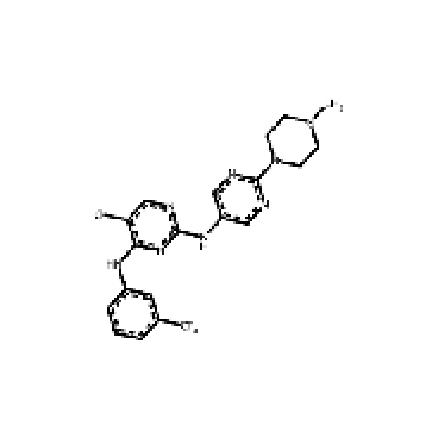 CN1CCN(c2ncc(Nc3ncc(Cl)c(Nc4cccc(C(F)(F)F)c4)n3)cn2)CC1